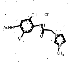 CC(=O)Nc1cc(O)c(NC(=O)Cn2cc[n+](C)c2)cc1Cl.[Cl-]